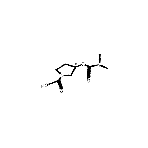 CN(C)C(=O)O[C@@H]1CCN(C(=O)O)C1